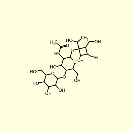 CC(=O)NC1C(OC2(C(C)O)C(O)C(O)C2CO)OC(CO)C(OC2OC(CO)C(O)C(O)C2O)C1O